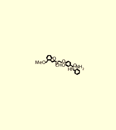 COCc1cccc2oc(N(C=O)CCOc3ccc(C(=O)Nc4ccccc4N)cc3)cc12